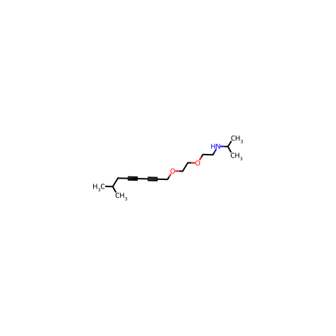 CC(C)CC#CC#CCOCCOCCNC(C)C